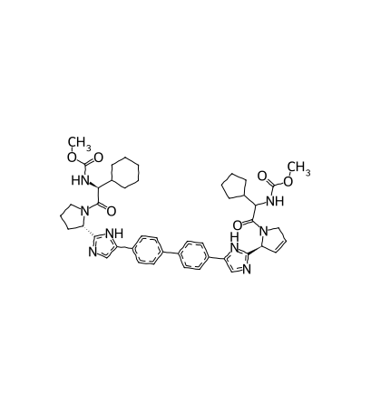 COC(=O)NC(C(=O)N1CC=C[C@H]1c1ncc(-c2ccc(-c3ccc(-c4cnc([C@@H]5CCCN5C(=O)[C@@H](NC(=O)OC)C5CCCCC5)[nH]4)cc3)cc2)[nH]1)C1CCCC1